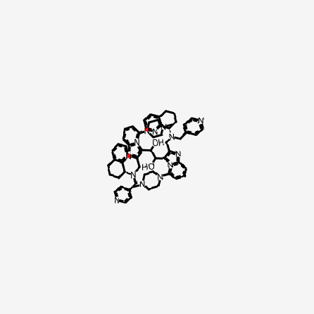 CN1CCN(c2cccc3nc(CN(Cc4ccncc4)[C@H]4CCCc5cccnc54)c(C(O)C(O)c4c(CN(Cc5ccncc5)[C@H]5CCCc6cccnc65)nc5cccc(N6CCN(C)CC6)n45)n23)CC1